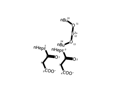 CCCCCCCC(=O)CC(=O)[O-].CCCCCCCC(=O)CC(=O)[O-].CCCC[O][Ti+2][O]CCCC